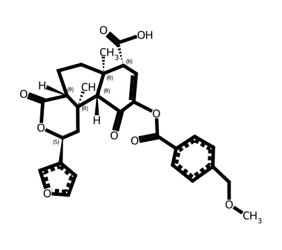 COCc1ccc(C(=O)OC2=C[C@@H](C(=O)O)[C@]3(C)CC[C@H]4C(=O)O[C@H](c5ccoc5)C[C@]4(C)[C@H]3C2=O)cc1